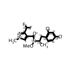 CON(C(=O)c1cn(C)nc1C(F)F)[C@@H](C)Cc1ccc(Cl)cc1Cl